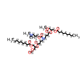 CCCCCCCCC(=O)OCC(COC)OC(=O)CCCN(CCCC(=O)OC(COC=O)COC(=O)CCCCCCCC)C(=O)OCCCN(C)C